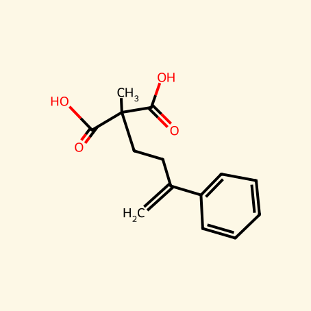 C=C(CCC(C)(C(=O)O)C(=O)O)c1ccccc1